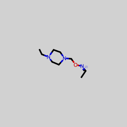 C/C=N\OCN1CCN(CC)CC1